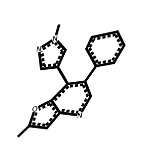 Cc1cc2ncc(-c3ccccc3)c(-c3cnn(C)c3)c2o1